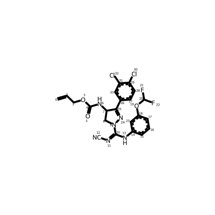 C=CCOC(=O)NC1CN(/C(=N\C#N)Nc2cccc(OC(F)F)c2)N=C1c1ccc(Cl)c(Cl)c1